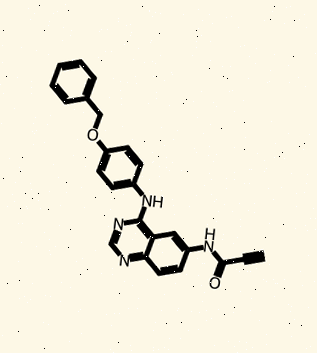 C#CC(=O)Nc1ccc2ncnc(Nc3ccc(OCc4ccccc4)cc3)c2c1